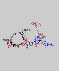 COc1cc2cc(c1Cl)N(C)C(=O)C[C@H](OC(=O)Nc1ccc(NC(=O)[C@H](CCCNC(N)=O)NC(=O)[C@@H](NC(=O)CCCCCN3C(=O)C=CC3=O)C(C)C)cc1C)[C@]1(C)O[C@H]1[C@H](C)[C@@H]1C[C@@](O)(NC(=O)O1)[C@H](OC)/C=C/C=C(\C)C2